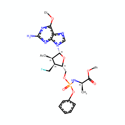 CCOc1nc(N)nc2c1ncn2[C@@H]1O[C@H](COP(=O)(N[C@H](C)C(=O)OC(C)C)Oc2ccccc2)[C@@H](CF)[C@H]1OC(C)=O